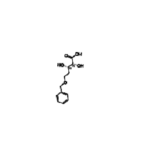 O=C(O)[C@H](O)[C@@H](O)CCOCc1ccccc1